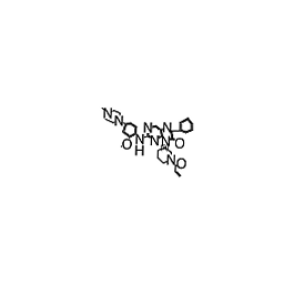 C=CC(=O)N1CCC[C@@H](n2c(=O)c(-c3ccccc3)nc3cnc(Nc4ccc(N5CCN(C)CC5)cc4OC)nc32)C1